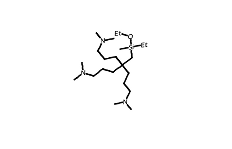 CCO[Si](C)(CC)CC(CCCN(C)C)(CCCN(C)C)CCCN(C)C